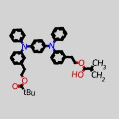 C=C(C)C(O)OCCc1cccc(N(c2ccccc2)c2ccc(N(c3ccccc3)c3cccc(CCOC(=O)C(C)(C)C)c3)cc2)c1